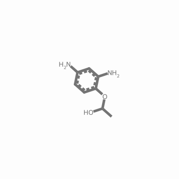 CC(O)Oc1ccc(N)cc1N